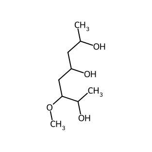 COC(CC(O)CC(C)O)C(C)O